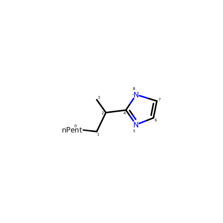 CCCCCCC(C)C1=NC=C[N]1